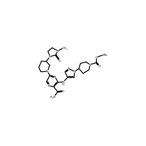 CN1CCN(C2CCCN(c3cnc(C(N)=O)c(Nc4cnn(C5CCN(C(=O)OC(C)(C)C)CC5)c4)n3)C2)C1=O